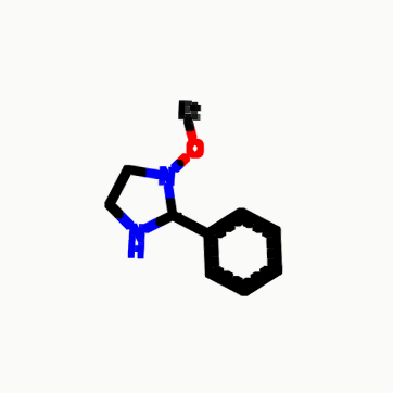 CCON1CCN[C]1c1ccccc1